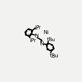 CC(C)c1cccc(C(C)C)c1N=CC=Nc1cc(C(C)(C)C)ccc1C(C)(C)C.[Ni]